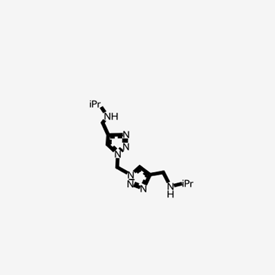 CC(C)NCc1cn(Cn2cc(CNC(C)C)nn2)nn1